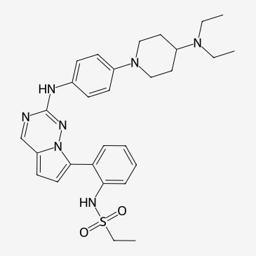 CCN(CC)C1CCN(c2ccc(Nc3ncc4ccc(-c5ccccc5NS(=O)(=O)CC)n4n3)cc2)CC1